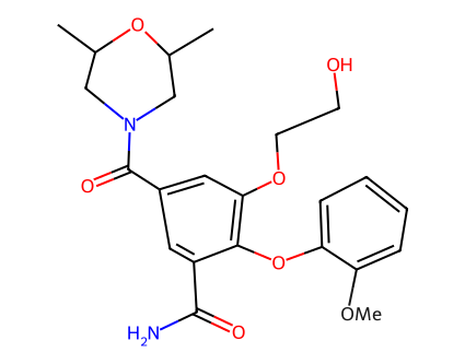 COc1ccccc1Oc1c(OCCO)cc(C(=O)N2CC(C)OC(C)C2)cc1C(N)=O